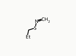 C=NSCCC